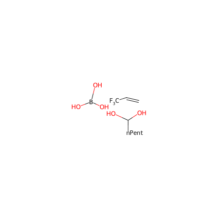 C=CC(F)(F)F.CCCCCC(O)O.OB(O)O